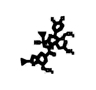 CCOc1c(CC(N)=O)cc([C@@](O)(CNC(=O)c2cc(OC)n3nc(C4CC4)cc3c2)C2CC2)nc1-c1ccc(Cl)c(F)c1